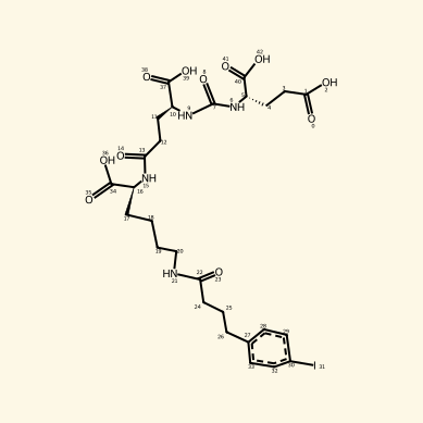 O=C(O)CC[C@H](NC(=O)N[C@@H](CCC(=O)N[C@@H](CCCCNC(=O)CCCc1ccc(I)cc1)C(=O)O)C(=O)O)C(=O)O